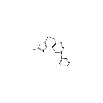 Cc1nc2c(s1)CCC1=C2CN(c2ccccc2)C=N1